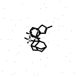 CC1=Cc2c(cccc2C23CC4C[C](CC(C4)C2)C32[Si](C)(C)[Si](C)(C)[Si]2(C)C)C1